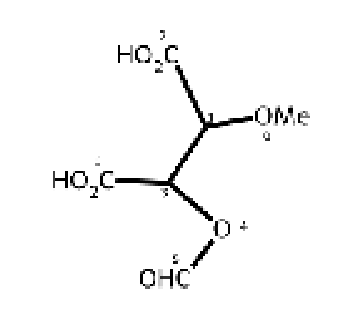 COC(C(=O)O)C(OC=O)C(=O)O